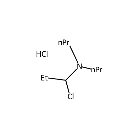 CCCN(CCC)C(Cl)CC.Cl